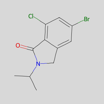 CC(C)N1Cc2cc(Br)cc(Cl)c2C1=O